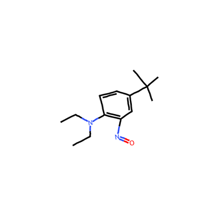 CCN(CC)c1ccc(C(C)(C)C)cc1N=O